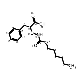 CCCCCCOC(=O)NO[C@@H](Cc1ccccc1)C(=O)O